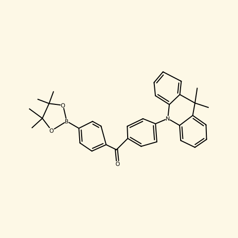 CC1(C)c2ccccc2N(c2ccc(C(=O)c3ccc(B4OC(C)(C)C(C)(C)O4)cc3)cc2)c2ccccc21